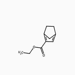 CCOC(=O)C1=C2CCC(=C1)C2